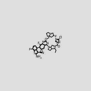 CCC1C2CCN(c3nc(OC[C@@]45CCCN4C[C@H](F)C5)nc4c(F)c(-c5ccc(F)c6sc(N)c(C#N)c56)c(Cl)cc34)C2CN1C(=O)n1cnc(Cl)n1